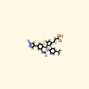 CC(C)c1ccc(N2C(C3C=C(/C=C/C(=O)O)C=C3F)c3ccc(-c4cnn(C)c4)cc3C[C@H]2C)cc1